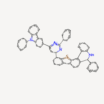 c1ccc(-c2nc(-c3ccc4c(c3)c3ccccc3n4-c3ccccc3)cc(-c3cccc4c3sc3c5c(ccc34)C(c3ccccc3)Nc3ccccc3-5)n2)cc1